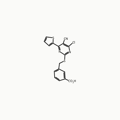 N#Cc1c(Cl)nc(SCc2cccc(C(=O)O)c2)nc1-c1cccs1